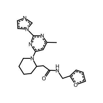 Cc1cc(N2CCCCC2CC(=O)NCc2ccco2)nc(-n2ccnc2)n1